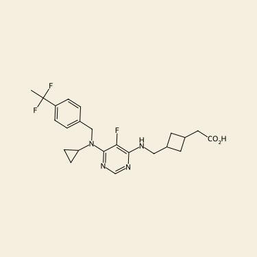 CC(F)(F)c1ccc(CN(c2ncnc(NCC3CC(CC(=O)O)C3)c2F)C2CC2)cc1